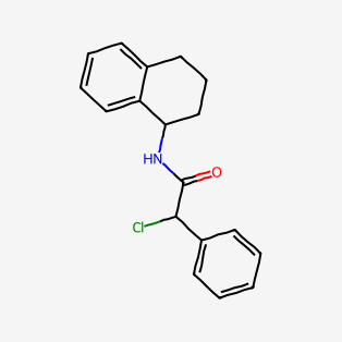 O=C(NC1CCCc2ccccc21)C(Cl)c1ccccc1